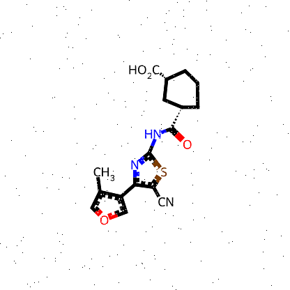 Cc1cocc1-c1nc(NC(=O)[C@H]2CCC[C@@H](C(=O)O)C2)sc1C#N